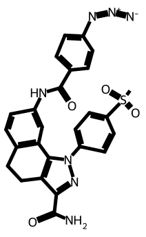 CS(=O)(=O)c1ccc(-n2nc(C(N)=O)c3c2-c2cc(NC(=O)c4ccc(N=[N+]=[N-])cc4)ccc2CC3)cc1